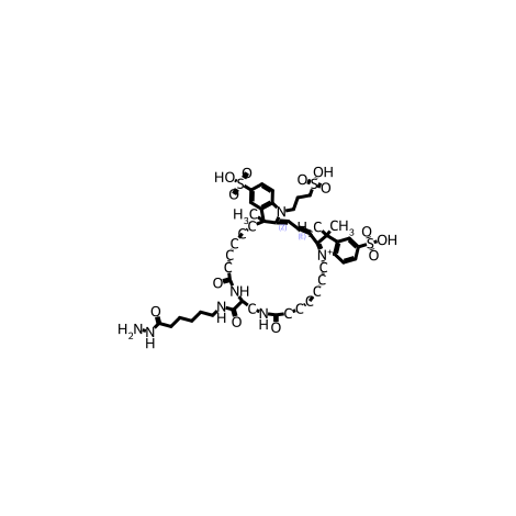 CC1(C)C2=[N+](CCCCCCC(=O)NCC(C(=O)NCCCCCC(=O)NN)NC(=O)CCCCCC3(C)/C(=C/C=C/2)N(CCCS(=O)(=O)O)c2ccc(S(=O)(=O)O)cc23)c2ccc(S(=O)(=O)O)cc21